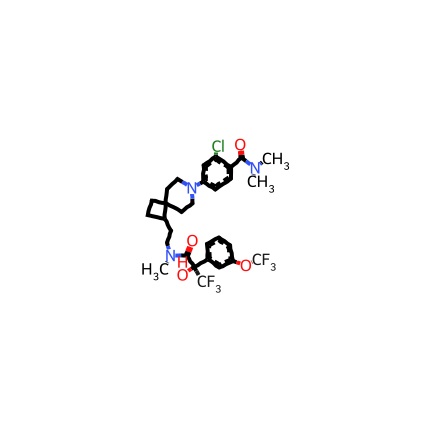 CN(C)C(=O)c1ccc(N2CCC3(CCC3CCN(C)C(=O)C(O)(c3cccc(OC(F)(F)F)c3)C(F)(F)F)CC2)cc1Cl